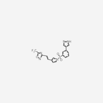 O=S(=O)(c1cccc(-c2cn[nH]c2)c1)n1ccc(C=Cc2noc(C(F)(F)F)n2)c1